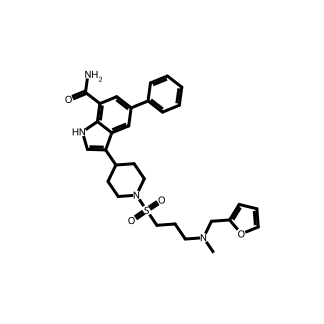 CN(CCCS(=O)(=O)N1CCC(c2c[nH]c3c(C(N)=O)cc(-c4ccccc4)cc23)CC1)Cc1ccco1